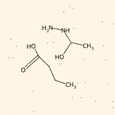 CC(O)NN.CCCC(=O)O